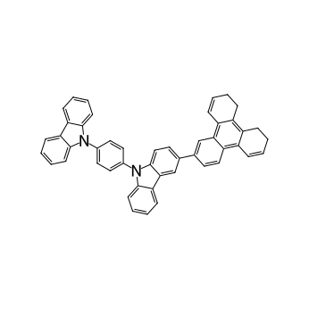 C1=Cc2c(c3c(c4cc(-c5ccc6c(c5)c5ccccc5n6-c5ccc(-n6c7ccccc7c7ccccc76)cc5)ccc24)C=CCC3)CC1